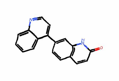 O=c1ccc2ccc(-c3ccnc4ccccc34)cc2[nH]1